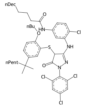 CCCCCCCCCCCCCC(=O)Nc1ccc(Cl)c(NC2=NN(c3c(Cl)cc(Cl)cc3Cl)C(=O)C2Sc2cc(C(C)(C)CCCCC)ccc2OCCCC)c1